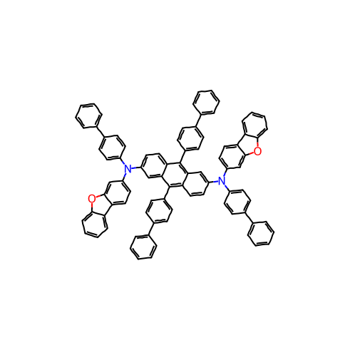 c1ccc(-c2ccc(-c3c4ccc(N(c5ccc(-c6ccccc6)cc5)c5ccc6c(c5)oc5ccccc56)cc4c(-c4ccc(-c5ccccc5)cc4)c4ccc(N(c5ccc(-c6ccccc6)cc5)c5ccc6c(c5)oc5ccccc56)cc34)cc2)cc1